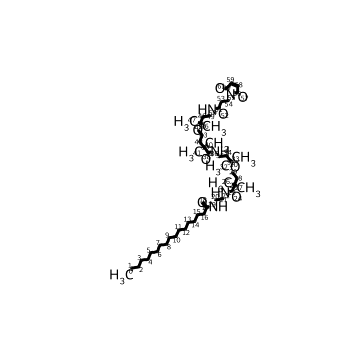 CCCCCCCCCCCCCCCCCC(=O)NCCNC(=O)C(C)(C)CCOC(C)(C)CCNC(=O)C(C)(C)CCOC(C)(C)CCNC(=O)CCN1C(=O)C=CC1=O